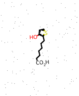 O=C(O)CCCCCCc1sccc1O